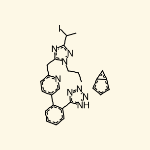 CCCn1nc(C(C)I)nc1Cc1ccc(-c2ccccc2-c2nnn[nH]2)cn1.c1cc2cc-2c1